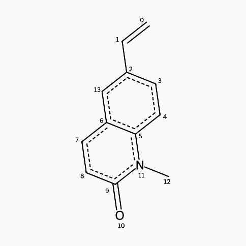 C=Cc1ccc2c(ccc(=O)n2C)c1